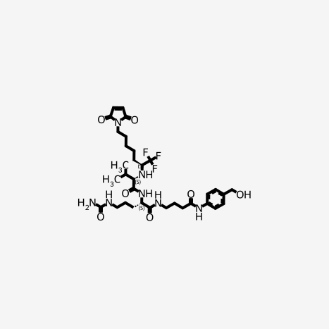 CC(C)[C@H](N[C@@H](CCCCCN1C(=O)C=CC1=O)C(F)(F)F)C(=O)N[C@@H](CCCNC(N)=O)C(=O)NCCCC(=O)Nc1ccc(CO)cc1